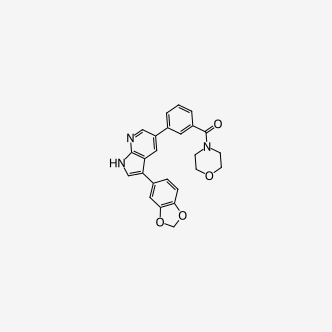 O=C(c1cccc(-c2cnc3[nH]cc(-c4ccc5c(c4)OCO5)c3c2)c1)N1CCOCC1